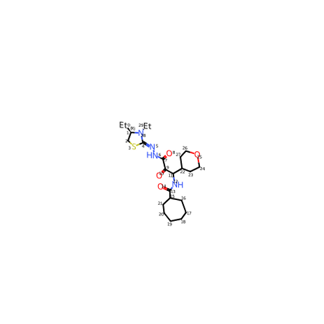 CC[C@@H]1CSC(=NNC(=O)C(=O)C(NC(=O)C2CCCCCC2)C2CCOCC2)N1CC